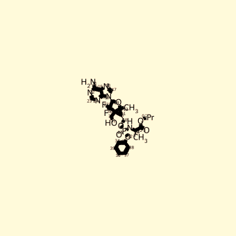 CC(C)OC(=O)[C@H](C)NP(=O)(OC[C@H]1C2(C)O[C@@H](n3cnc4c(N)ncnc43)C(F)(F)C12CO)Oc1ccccc1